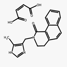 Cc1[nH]cnc1CN1CCc2ccc3ccccc3c2C1=O.O=C(O)/C=C\C(=O)O